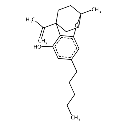 C=C(C)C12CCC(C)(CC1)Oc1cc(CCCCC)cc(O)c12